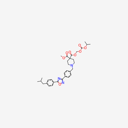 COC(=O)C1(C(=O)OCOC(=O)OC(C)C)CCN(Cc2ccc(-c3noc(-c4ccc(CC(C)C)cc4)n3)cc2)CC1